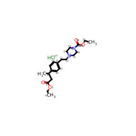 CCOC(=O)CC(C)c1ccc(CCN2CCN(C(=O)OCC)CC2)cc1.Cl